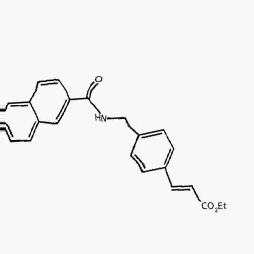 CCOC(=O)/C=C/c1ccc(CNC(=O)c2ccc3ccccc3c2)cc1